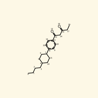 CCCCC1CCC(c2ccc(C(=O)CC(=O)CC)cc2)CC1